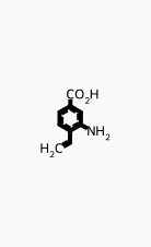 C=Cc1ccc(C(=O)O)cc1N